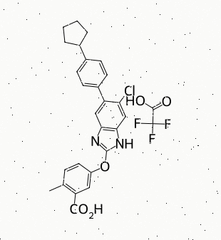 Cc1ccc(Oc2nc3cc(-c4ccc(C5CCCC5)cc4)c(Cl)cc3[nH]2)cc1C(=O)O.O=C(O)C(F)(F)F